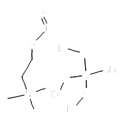 CCC[Si](OCC)(OCC)OCC.C[N+](C)(C)CCOP=O